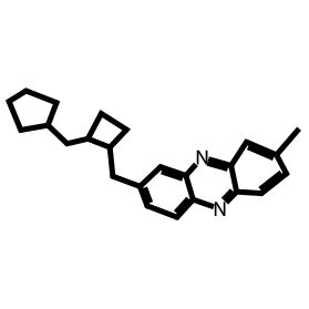 Cc1ccc2nc3ccc(CC4CCC4CC4CCCC4)cc3nc2c1